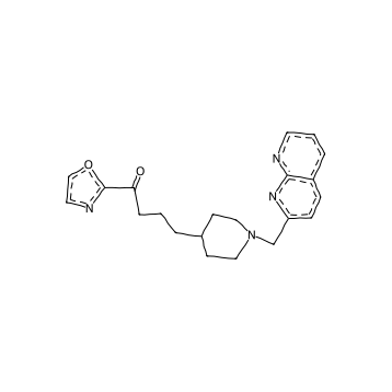 O=C(CCCC1CCN(Cc2ccc3cccnc3n2)CC1)c1ncco1